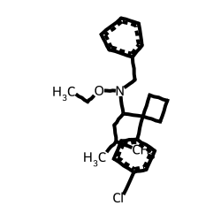 CCON(Cc1ccccc1)C(CC(C)C)C1(c2ccc(Cl)cc2)CCC1